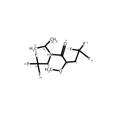 COC(CC(F)(F)F)C(=O)N(CC(F)(F)F)C(C)C